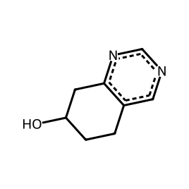 OC1CCc2cncnc2C1